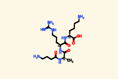 C[C@H](NC(=O)CCCN)C(=O)N[C@@H](CCCNC(=N)N)C(=O)N[C@@H](CCCCN)C(=O)O